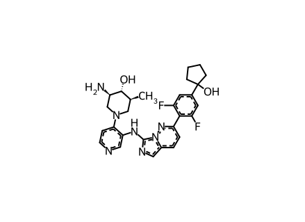 C[C@H]1CN(c2ccncc2Nc2ncc3ccc(-c4c(F)cc(C5(O)CCCC5)cc4F)nn23)C[C@@H](N)[C@@H]1O